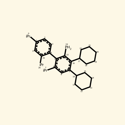 CC(C)c1ccc(-c2c(C(C)C)cc(C3CCCCC3)c(C3CCCCC3)c2P)c(C(C)C)c1